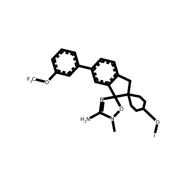 CN1OC2(N=C1N)c1cc(-c3cccc(OC(F)(F)F)c3)ccc1CC21CCC(OI)CC1